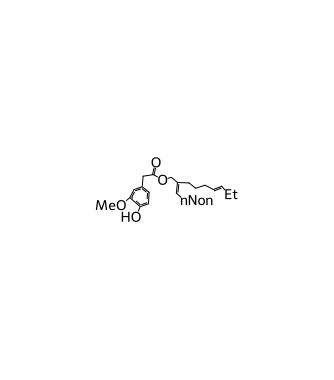 CCC=CCCCC(=CCCCCCCCCC)COC(=O)Cc1ccc(O)c(OC)c1